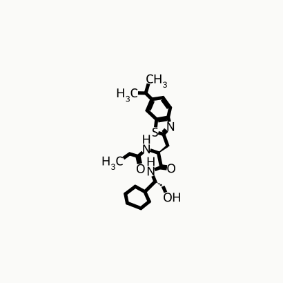 CCC(=O)N[C@@H](Cc1nc2ccc(C(C)C)cc2s1)C(=O)N[C@H](CO)C1CCCCC1